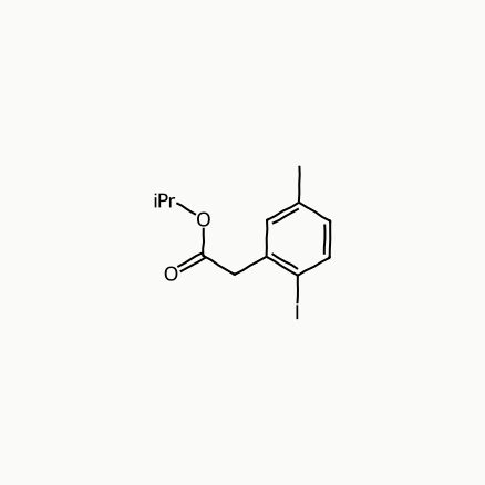 Cc1ccc(I)c(CC(=O)OC(C)C)c1